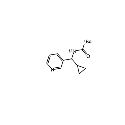 CC(C)(C)C(=O)NC(c1cccnc1)C1CC1